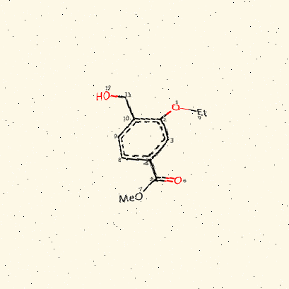 CCOc1cc(C(=O)OC)ccc1CO